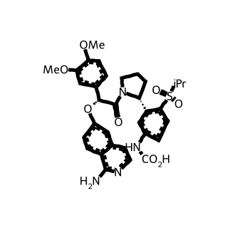 COc1ccc([C@@H](Oc2ccc3c(N)nccc3c2)C(=O)N2CCC[C@@H]2c2cc(NC(=O)O)ccc2S(=O)(=O)C(C)C)cc1OC